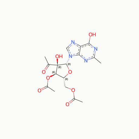 CC(=O)OC[C@H]1O[C@@H](n2cnc3c(O)nc(C)nc32)[C@@](O)(C(C)=O)[C@@H]1OC(C)=O